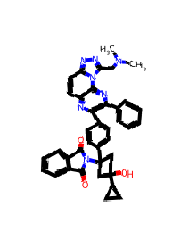 CN(C)Cc1nnc2ccc3nc(-c4ccc(C5(N6C(=O)c7ccccc7C6=O)CC(O)(C6CC6)C5)cc4)c(-c4ccccc4)nc3n12